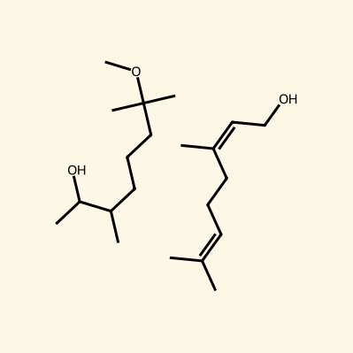 CC(C)=CCC/C(C)=C\CO.COC(C)(C)CCCC(C)C(C)O